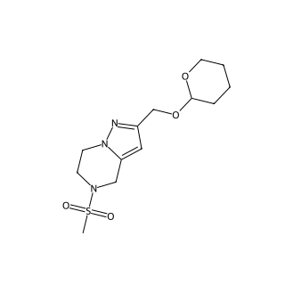 CS(=O)(=O)N1CCn2nc(COC3CCCCO3)cc2C1